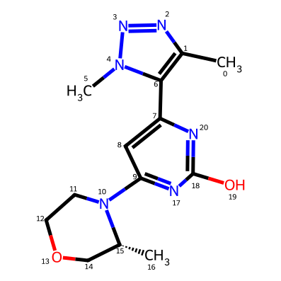 Cc1nnn(C)c1-c1cc(N2CCOC[C@H]2C)nc(O)n1